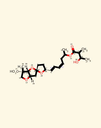 CC(C/C=C\C=C\[C@H]1CC[C@]2(C[C@@H]3OC[C@](C)(C(=O)O)[C@@H]3O2)O1)OC(=O)C(C)C(C)O